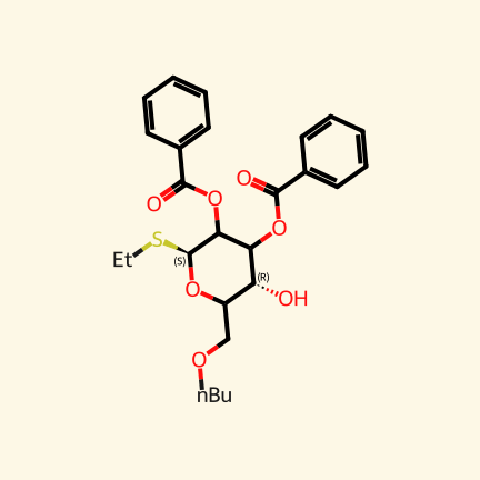 CCCCOCC1O[C@@H](SCC)C(OC(=O)c2ccccc2)C(OC(=O)c2ccccc2)[C@@H]1O